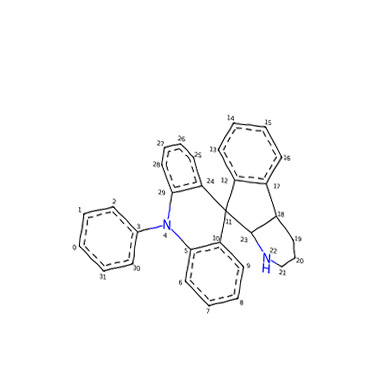 c1ccc(N2c3ccccc3C3(c4ccccc4C4CCCNC43)c3ccccc32)cc1